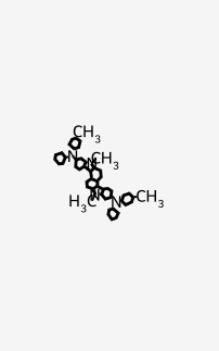 Cc1ccc(N(c2ccccc2)c2ccc3c4c5ccc6c(c5ccc4n(C)c3c2)c2ccc(N(c3ccccc3)c3ccc(C)cc3)cc2n6C)cc1